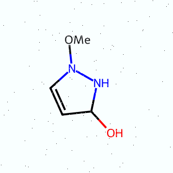 CON1C=CC(O)N1